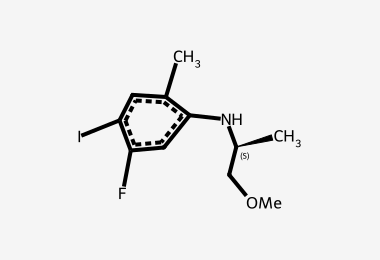 COC[C@H](C)Nc1cc(F)c(I)cc1C